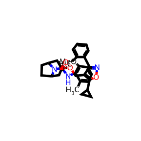 COc1cccc(C)c1NC(=O)N1C2CCC1CC(OCc1c(-c3ccccc3C)noc1C1CC1)C2